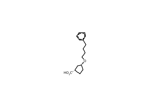 O=C(O)[C@H]1CC[C@H](OCCCCc2ccccc2)C1